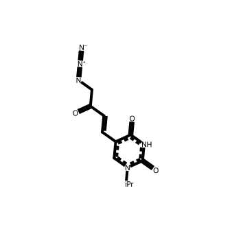 CC(C)n1cc(/C=C/C(=O)CN=[N+]=[N-])c(=O)[nH]c1=O